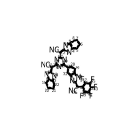 N#CC(=C1N=c2ccccc2=N1)c1nc(C(C#N)=C2N=c3ccccc3=N2)nc(-c2ccc3c(c2)=N/C(=C(\C#N)c2c(F)c(F)c(F)c(F)c2F)N=3)n1